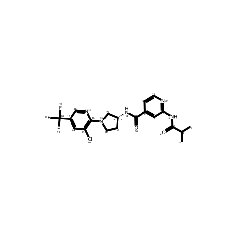 CC(C)C(=O)Nc1cc(C(=O)N[C@@H]2CCN(c3ncc(C(F)(F)F)cc3Cl)C2)ccn1